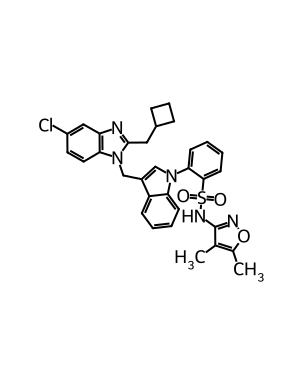 Cc1onc(NS(=O)(=O)c2ccccc2-n2cc(Cn3c(CC4CCC4)nc4cc(Cl)ccc43)c3ccccc32)c1C